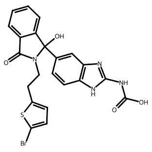 O=C(O)Nc1nc2cc(C3(O)c4ccccc4C(=O)N3CCc3ccc(Br)s3)ccc2[nH]1